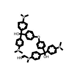 CN(C)c1ccc(C(O)(c2ccc(Oc3ccc(C(O)(c4ccc(N(C)C)cc4)c4ccc(N(C)C=N)cc4)cc3)cc2)c2ccc(N(C)C)cc2)cc1